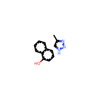 Cc1c[nH]nn1.Oc1cccc2ccccc12